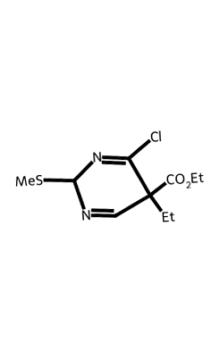 CCOC(=O)C1(CC)C=NC(SC)N=C1Cl